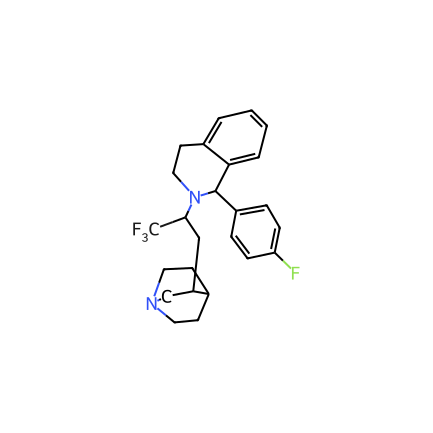 Fc1ccc(C2c3ccccc3CCN2C(CC2CN3CCC2CC3)C(F)(F)F)cc1